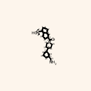 C[Si](C)(O)c1cccc2cc(C(=O)N3CCC(c4cccc(CN)c4)CC3)ccc12